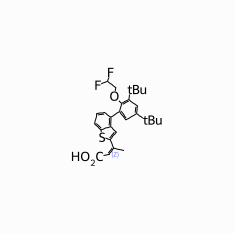 C/C(=C/C(=O)O)c1cc2c(-c3cc(C(C)(C)C)cc(C(C)(C)C)c3OCC(F)F)cccc2s1